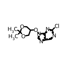 CC1(C)OCC(On2cnc3cnc(Cl)nc32)CO1